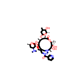 CC[C@H]1OC(=O)[C@H](C)[C@@H](O[C@H]2CC(C)[C@@H](O)[C@H](C)O2)[C@H](C)[C@@H](O[C@@H]2O[C@H](C)C[C@H](N(C)C)[C@H]2OCCCNC(=O)c2cccnc2)[C@](C)(O)C[C@@H](C)CN(C)[C@H](C)[C@@H](O)[C@]1(C)O